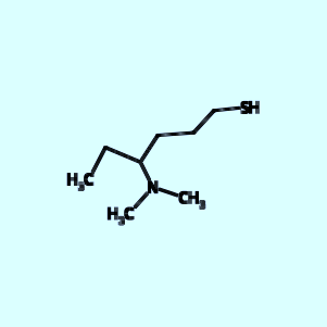 CCC(CCCS)N(C)C